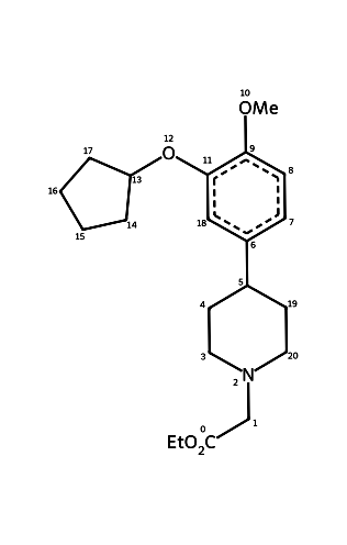 CCOC(=O)CN1CCC(c2ccc(OC)c(OC3CCCC3)c2)CC1